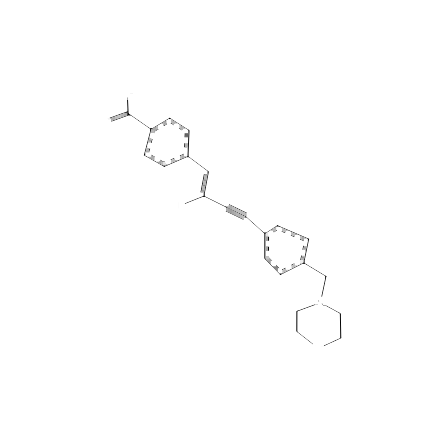 O=C(O)c1ccc(C=C(F)C#Cc2ccc(CN3CCOCC3)cc2)cc1